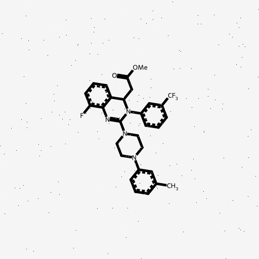 COC(=O)CC1c2cccc(F)c2N=C(N2CCN(c3cccc(C)c3)CC2)N1c1cccc(C(F)(F)F)c1